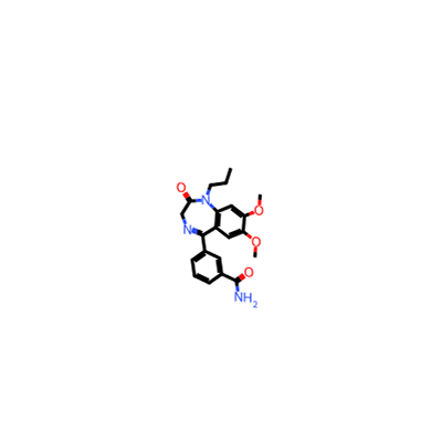 CCCN1C(=O)CN=C(c2cccc(C(N)=O)c2)c2cc(OC)c(OC)cc21